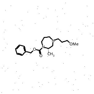 COCCCN1CCCN(C(=O)OCc2ccccc2)[C@@H](C)C1